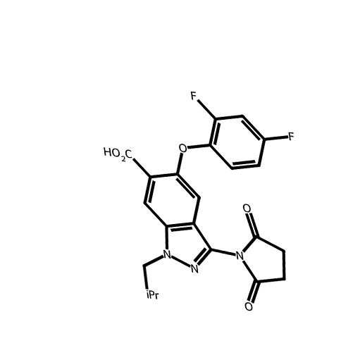 CC(C)Cn1nc(N2C(=O)CCC2=O)c2cc(Oc3ccc(F)cc3F)c(C(=O)O)cc21